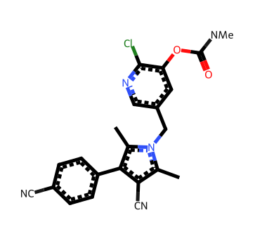 CNC(=O)Oc1cc(Cn2c(C)c(C#N)c(-c3ccc(C#N)cc3)c2C)cnc1Cl